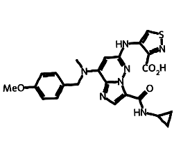 COc1ccc(CN(C)c2cc(Nc3csnc3C(=O)O)nn3c(C(=O)NC4CC4)cnc23)cc1